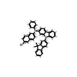 CC1(C)c2ccccc2-c2ccc(-n3c4ccccc4c4ccc(N(c5ccccc5)c5ccc6cc(Br)ccc6c5)cc43)cc21